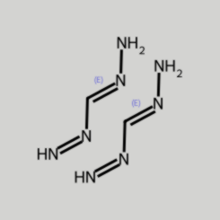 N=N/C=N/N.N=N/C=N/N